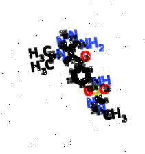 CC(C)n1cc(C(=O)c2cccc(NS(=O)(=O)c3cn(C)cn3)c2)c2c(N)ncnc21